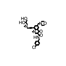 CN(CC#Cc1cc(CN2CCOCC2)cc2c(=O)c(C(=O)NCc3ccc(Cl)cc3)cn(C)c12)CC(O)CO